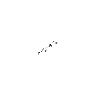 [Br][Ag][I].[Cu]